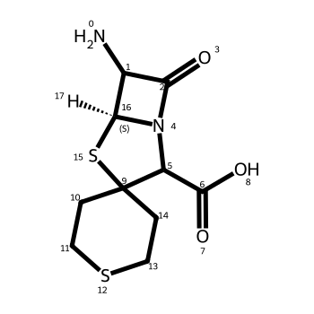 NC1C(=O)N2C(C(=O)O)C3(CCSCC3)S[C@@H]12